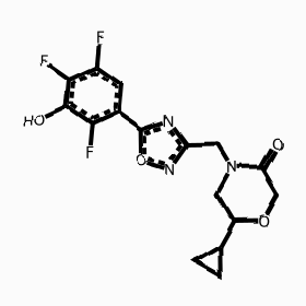 O=C1COC(C2CC2)CN1Cc1noc(-c2cc(F)c(F)c(O)c2F)n1